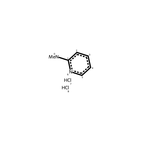 CNc1ccccn1.Cl.Cl